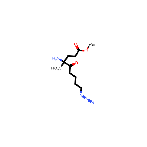 CC(C)(C)OC(=O)CCC(N)(C(=O)O)C(=O)CCCCN=[N+]=[N-]